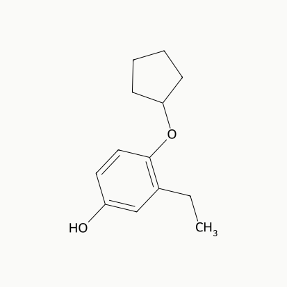 CCc1cc(O)ccc1OC1CCCC1